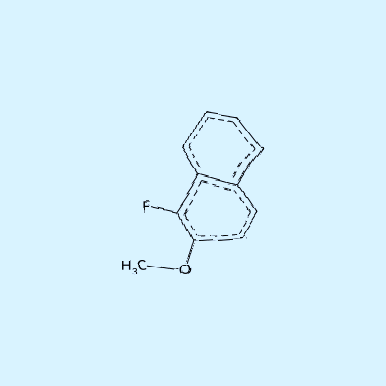 COc1[c]cc2ccccc2c1F